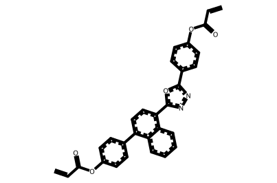 C=CC(=O)Oc1ccc(-c2nnc(-c3ccc(-c4ccc(OC(=O)C=C)cc4)c4ccccc34)o2)cc1